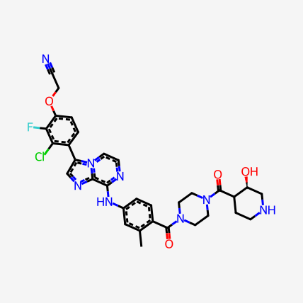 Cc1cc(Nc2nccn3c(-c4ccc(OCC#N)c(F)c4Cl)cnc23)ccc1C(=O)N1CCN(C(=O)C2CCNC[C@@H]2O)CC1